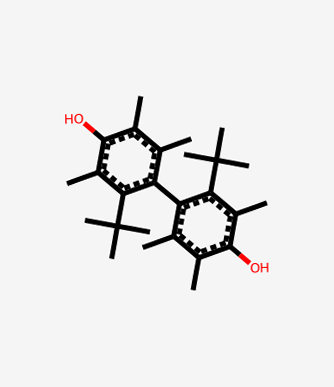 Cc1c(C)c(-c2c(C)c(C)c(O)c(C)c2C(C)(C)C)c(C(C)(C)C)c(C)c1O